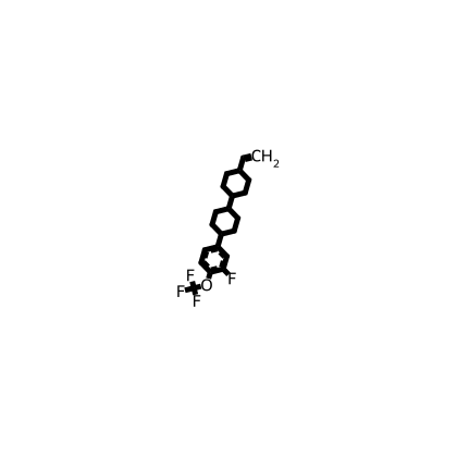 C=CC1CCC(C2CCC(c3ccc(OC(F)(F)F)c(F)c3)CC2)CC1